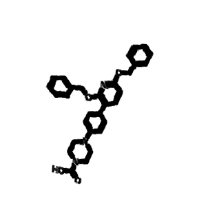 O=C(O)N1CCN(c2ccc(-c3ccc(OCc4ccccc4)nc3OCc3ccccc3)cc2)CC1